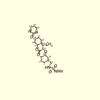 CNS(=O)(=O)NSc1cccc(Oc2c(C)c3ccc(Oc4ncccn4)cc3oc2=O)c1